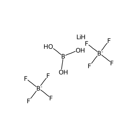 F[B-](F)(F)F.F[B-](F)(F)F.OB(O)O.[LiH]